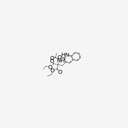 CCOC(=O)C(Cc1cc2ccccc2[nH]c1=O)(NC(C)=O)C(=O)OCC